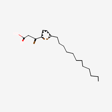 CCCCCCCCCCCCc1ccc(C(=S)CC(=O)O)s1